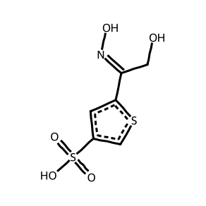 O=S(=O)(O)c1csc(C(CO)=NO)c1